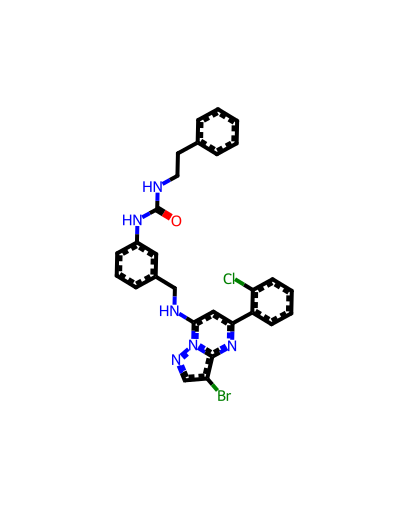 O=C(NCCc1ccccc1)Nc1cccc(CNc2cc(-c3ccccc3Cl)nc3c(Br)cnn23)c1